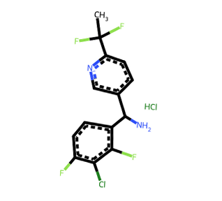 CC(F)(F)c1ccc(C(N)c2ccc(F)c(Cl)c2F)cn1.Cl